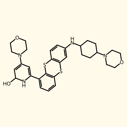 OC1C=C(N2CCOCC2)C=C(c2cccc3c2Sc2ccc(NC4CCC(N5CCOCC5)CC4)cc2S3)N1